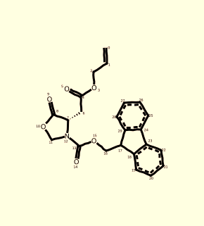 C=CCOC(=O)C[C@H]1C(=O)OCN1C(=O)OCC1c2ccccc2-c2ccccc21